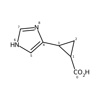 O=C(O)C1CC1c1c[nH]cn1